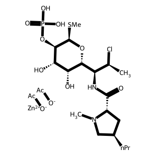 CC(=O)[O-].CC(=O)[O-].CCC[C@@H]1C[C@@H](C(=O)N[C@@H]([C@H]2O[C@H](SC)[C@H](OP(=O)(O)O)[C@@H](O)[C@H]2O)[C@H](C)Cl)N(C)C1.[Zn+2]